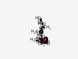 C/N=C/[C@]1(c2ccc(Cl)cc2F)[C@H](CC(C)(C)C)N[C@@H](C(=O)Nc2ccc(C(=O)OC(C)OC(=O)NCC(O)CO)cc2OC)[C@@H]1c1cccc(Cl)c1F